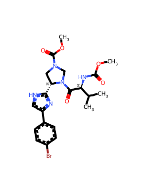 COC(=O)N[C@H](C(=O)N1CN(C(=O)OC)C[C@H]1c1nc(-c2ccc(Br)cc2)c[nH]1)C(C)C